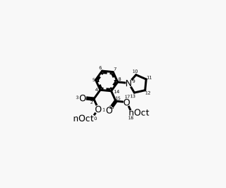 CCCCCCCCOC(=O)c1cccc(N2CCCC2)c1C(=O)OCCCCCCCC